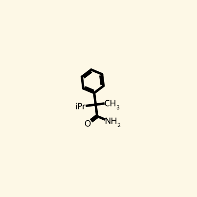 CC(C)C(C)(C(N)=O)c1ccccc1